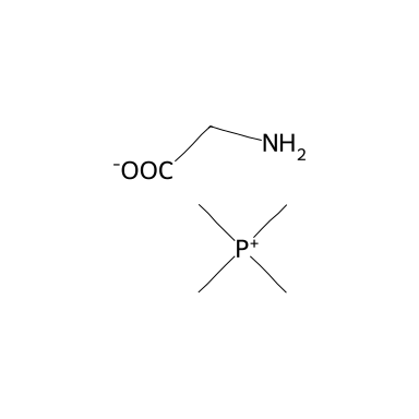 C[P+](C)(C)C.NCC(=O)[O-]